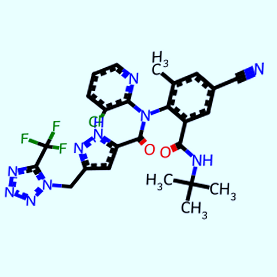 Cc1cc(C#N)cc(C(=O)NC(C)(C)C)c1N(C(=O)c1cc(Cn2nnnc2C(F)(F)F)n[nH]1)c1ncccc1Cl